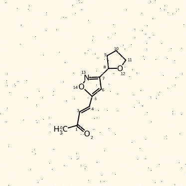 CC(=O)/C=C/c1cc(C2CCCO2)no1